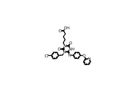 O=C(O)CCCCn1c(=O)[nH]/c(=N\c2ccc(Oc3ccccn3)cc2)n(Cc2ccc(Cl)cc2)c1=O